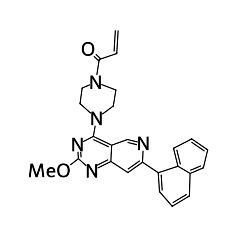 C=CC(=O)N1CCN(c2nc(OC)nc3cc(-c4cccc5ccccc45)ncc23)CC1